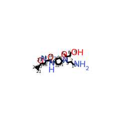 NCCCN(C(=O)CCO)C1CCC(NC(=O)c2cc(C3CC3)on2)CC1